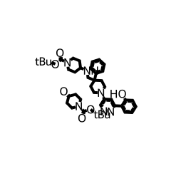 CC(C)(C)OC(=O)N1CCC(=O)CC1.CC(C)(C)OC(=O)N1CCC(NCC2(c3ccccc3)CCN(c3cnnc(-c4ccccc4O)c3)CC2)CC1